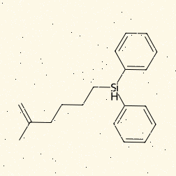 C=C(C)CCCC[SiH](c1ccccc1)c1ccccc1